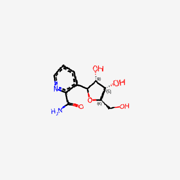 NC(=O)c1ncccc1C1O[C@H](CO)[C@@H](O)[C@H]1O